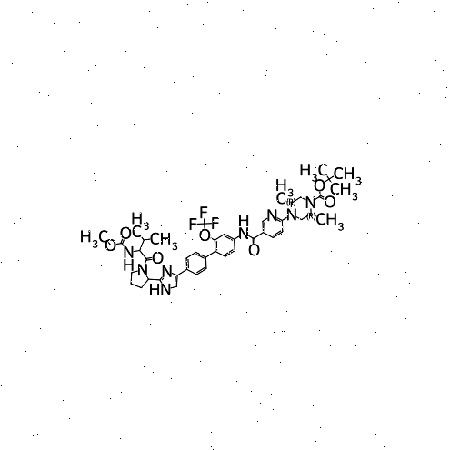 COC(=O)NC(C(=O)N1CCCC1c1nc(-c2ccc(-c3ccc(NC(=O)c4ccc(N5C[C@@H](C)N(C(=O)OC(C)(C)C)C[C@H]5C)nc4)cc3OC(F)(F)F)cc2)c[nH]1)C(C)C